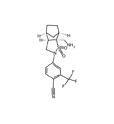 N#Cc1ccc(N2C[C@H]3[C@H]4CC[C@H](C4)[C@@]3(CN)S2(=O)=O)cc1C(F)(F)F